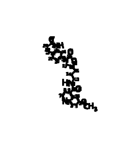 COc1ccc2nccc(C(=O)NCCC[C@H]3CN(c4ccc5c(c4)NC(=O)CS5)C(=O)O3)c2c1